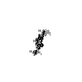 CC(C)(C)OC(=O)NCCCCCCc1ccccc1-c1nc(NS(=O)(=O)c2ccnc(F)c2)cnc1-n1ccc(OCC(C)(C)C(F)(F)F)n1